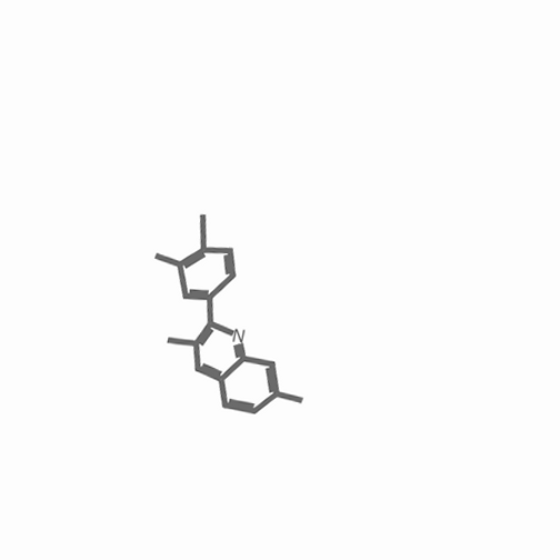 Cc1ccc2cc(C)c(-c3ccc(C)c(C)c3)nc2c1